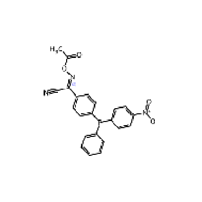 CC(=O)O/N=C(\C#N)c1ccc(P(c2ccccc2)c2ccc([N+](=O)[O-])cc2)cc1